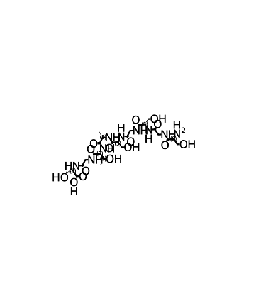 C[C@H](NC(=O)[C@H](CO)NC(=O)CNC(=O)[C@H](CO)NC(=O)CNC(=O)[C@@H](N)CO)C(=O)N[C@H](C(=O)NCC(=O)N[C@@H](CO)C(=O)O)[C@@H](C)O